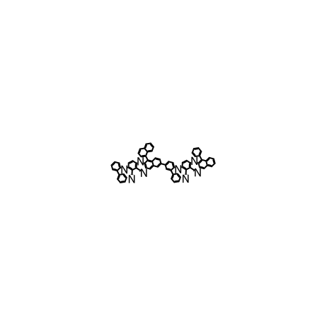 N#Cc1c(-n2c3ccccc3c3cc(-c4ccc5c(ccc6c5c5c7ccccc7ccc5n6-c5ccc(-n6c7ccccc7c7ccccc76)c(C#N)c5C#N)c4)ccc32)ccc(-n2c3ccccc3c3c4ccccc4ccc32)c1C#N